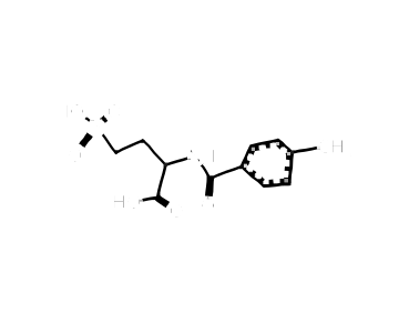 Cc1ccc(C(=O)NC(CCS(=O)(=O)O)C(=O)O)cc1